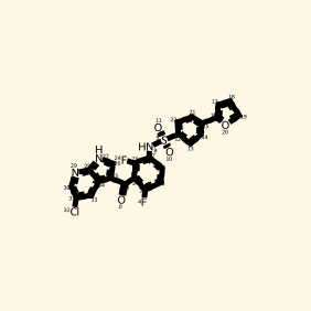 O=C(c1c(F)ccc(NS(=O)(=O)c2ccc(-c3ccco3)cc2)c1F)c1c[nH]c2ncc(Cl)cc12